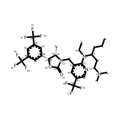 CCCC(CCN(C)C)N(CC)c1ncc(C(F)(F)F)cc1CN1C(=O)O[C@H](c2cc(C(F)(F)F)cc(C(F)(F)F)c2)[C@@H]1C